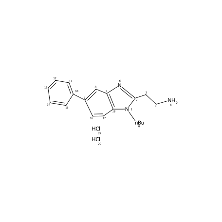 CCCCn1c(CCN)nc2cc(-c3ccccc3)ccc21.Cl.Cl